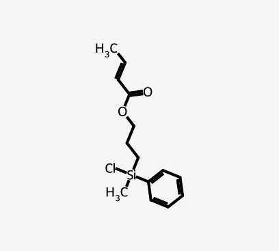 CC=CC(=O)OCCC[Si](C)(Cl)c1ccccc1